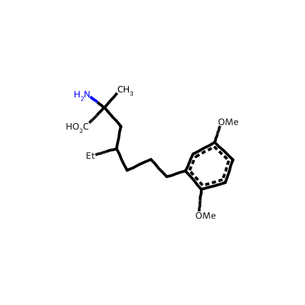 CCC(CCCc1cc(OC)ccc1OC)CC(C)(N)C(=O)O